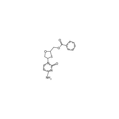 Nc1ccn(C2COC(COC(=O)c3ccccc3)S2)c(=O)n1